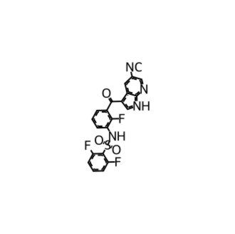 [C-]#[N+]c1cnc2[nH]cc(C(=O)c3cccc(NS(=O)(=O)c4c(F)cccc4F)c3F)c2c1